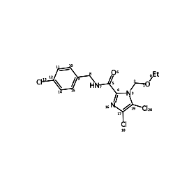 CCOCn1c(C(=O)NCc2ccc(Cl)cc2)nc(Cl)c1Cl